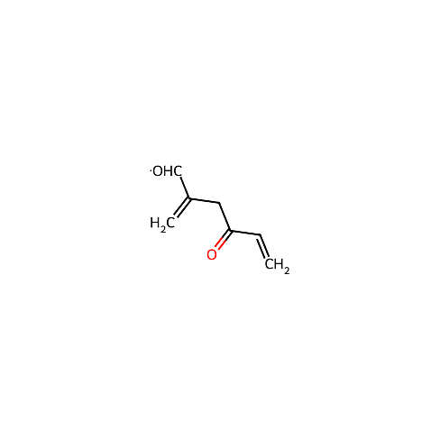 C=CC(=O)CC(=C)[C]=O